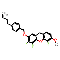 C=CCCc1ccc(COc2cc3c(c(F)c2F)Oc2c(ccc(OCC)c2F)C3)cc1